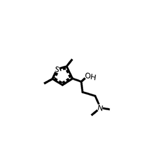 Cc1cc(C(O)CCN(C)C)c(C)s1